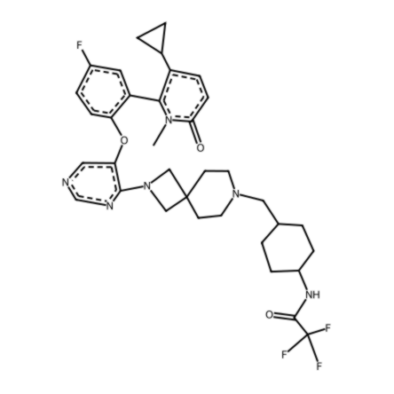 Cn1c(-c2cc(F)ccc2Oc2cncnc2N2CC3(CCN(CC4CCC(NC(=O)C(F)(F)F)CC4)CC3)C2)c(C2CC2)ccc1=O